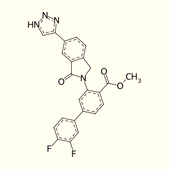 COC(=O)c1ccc(-c2ccc(F)c(F)c2)cc1N1Cc2ccc(-c3c[nH]nn3)cc2C1=O